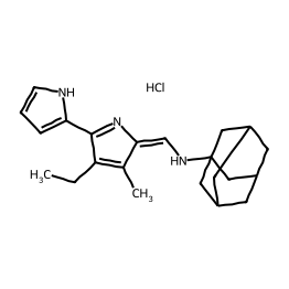 CCC1=C(C)C(=CNC23CC4CC(CC(C4)C2)C3)N=C1c1ccc[nH]1.Cl